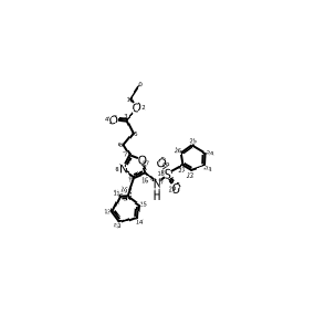 CCOC(=O)CCc1nc(-c2ccccc2)c(NS(=O)(=O)c2ccccc2)o1